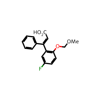 COCOc1ccc(F)cc1/C(=C/C(=O)O)c1ccccc1